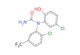 NC(=O)N(c1cc(Cl)ccc1O)c1cc(C(F)(F)F)ccc1Cl